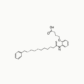 O=C(O)CCCOc1ccccc1NC(=S)CCCCCCCCCCc1ccccc1